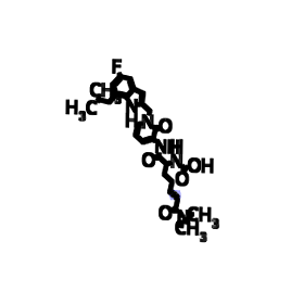 CC(C)Cc1cc(F)cc2cc(Cn3cccc(NC(=O)C(CC/C=C/C(=O)N(C)C)NC(=O)O)c3=O)[nH]c12